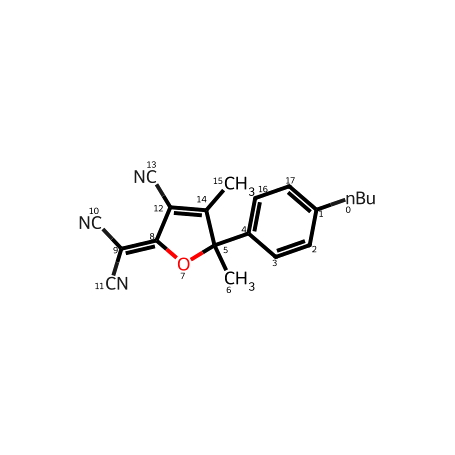 CCCCc1ccc(C2(C)OC(=C(C#N)C#N)C(C#N)=C2C)cc1